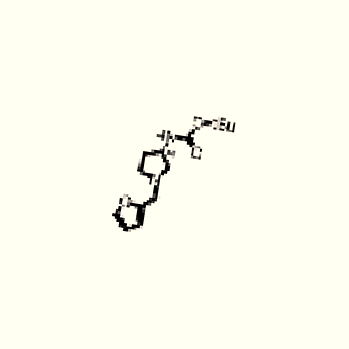 CC(C)(C)OC(=O)N[C@@H]1CCN(Cc2ccco2)C1